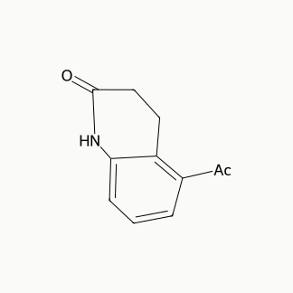 CC(=O)c1cccc2c1CCC(=O)N2